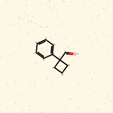 O=[C]C1(c2ccccc2)CCC1